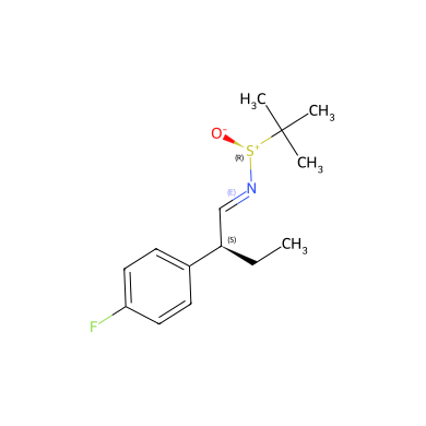 CC[C@H](/C=N/[S@@+]([O-])C(C)(C)C)c1ccc(F)cc1